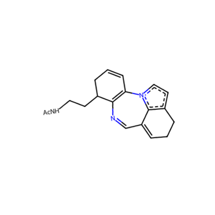 CC(=O)NCCC1CC=CC2=C1N=CC1=CCCc3ccn2c31